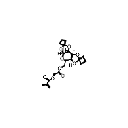 C=C(C)C(=O)OCC(=O)OC[C@H]1O[C@H]2OC3(CCC3)O[C@@H]2[C@H]2OC3(CCC3)O[C@H]21